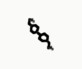 CCN1CCC(N2CCN(CC)CC2)CC1